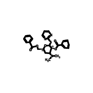 CN(C)C1C[C@@H](COC(=O)c2ccccc2)OC(Sc2ncccn2)[C@@H]1OC(=O)c1ccccc1